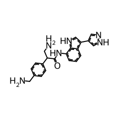 NCc1ccc(C(CN)C(=O)Nc2cccc3c(-c4cn[nH]c4)c[nH]c23)cc1